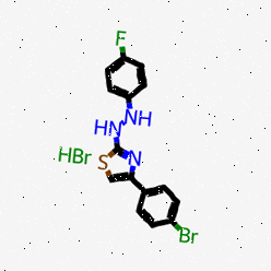 Br.Fc1ccc(NNc2nc(-c3ccc(Br)cc3)cs2)cc1